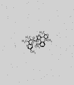 COc1cccc(OC)c1-n1c(NS(=O)(=O)[C@@H](C)[C@H](C)c2ncc(C)cn2)nnc1[C@@H]1CCO[C@H]1C